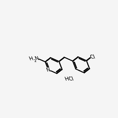 Cl.Nc1cc(Cc2cccc(Cl)c2)ccn1